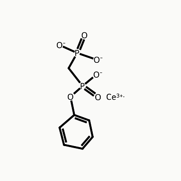 O=P([O-])([O-])CP(=O)([O-])Oc1ccccc1.[Ce+3]